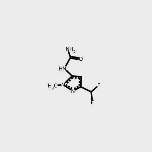 Cn1nc(C(F)F)cc1NC(N)=O